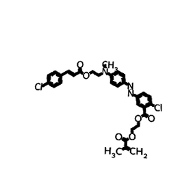 C=C(C)C(=O)OCCOC(=O)c1cc(/N=N/c2ccc(N(C)CCOC(=O)/C=C/c3ccc(Cl)cc3)cc2)ccc1Cl